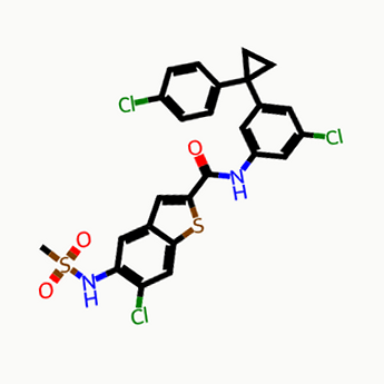 CS(=O)(=O)Nc1cc2cc(C(=O)Nc3cc(Cl)cc(C4(c5ccc(Cl)cc5)CC4)c3)sc2cc1Cl